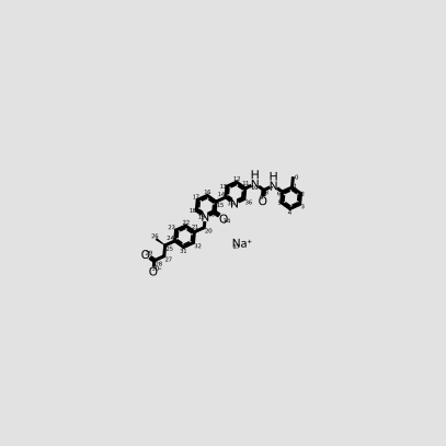 Cc1ccccc1NC(=O)Nc1ccc(-c2cccn(Cc3ccc([C@H](C)CC(=O)[O-])cc3)c2=O)nc1.[Na+]